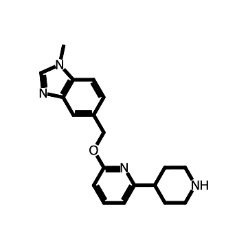 Cn1cnc2cc(COc3cccc(C4CCNCC4)n3)ccc21